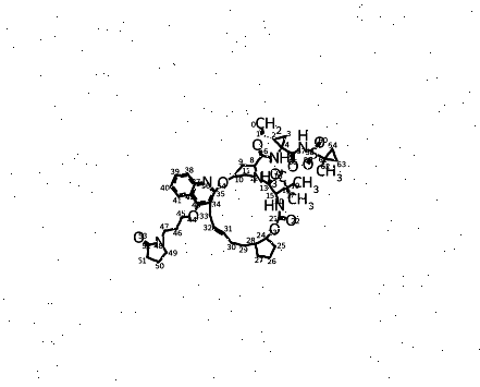 C=C[C@@H]1C[C@]1(NC(=O)C1CC2CN1C(=O)C(C(C)(C)C)NC(=O)OC1CCCC1CC/C=C/Cc1c(nc3ccccc3c1OCCCN1CCCC1=O)O2)C(=O)NS(=O)(=O)C1(C)CC1